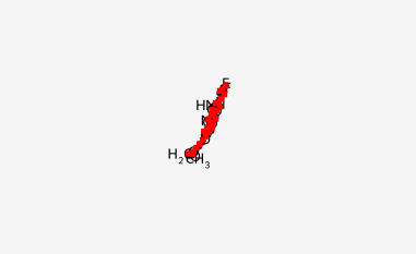 C=C(C)C(=O)OCCCCCCOc1ccc2cc(C(=O)Oc3ccc(C(=O)Oc4cnc(/C=C/C5CCC(C=C(F)F)CC5)cc4C=N)cc3C#N)ccc2c1